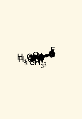 CCN(C(=O)Oc1ncc(C#Cc2cccc(F)c2)cn1)C(C)(C)C